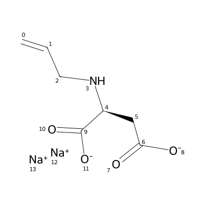 C=CCN[C@@H](CC(=O)[O-])C(=O)[O-].[Na+].[Na+]